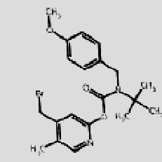 COc1ccc(CN(C(=O)Oc2cc(CBr)c(C)cn2)C(C)(C)C)cc1